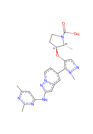 Cc1cc(Nc2cc3cc(-c4c(O[C@H]5CCN(C(=O)O)[C@@H]5C)cnn4C)ccn3n2)nc(C)n1